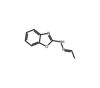 CC=NNc1nc2ccccc2o1